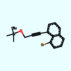 CC(C)(C)[Si](C)(C)OCC#Cc1cccc2cccc(Br)c12